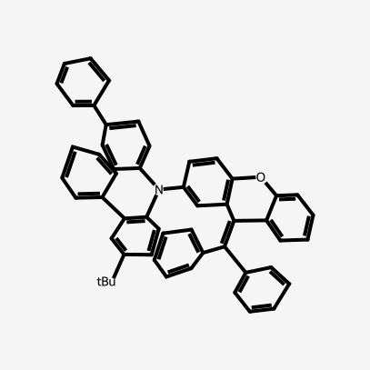 CC(C)(C)c1ccc(N(c2ccc(-c3ccccc3)cc2)c2ccc3c(c2)C(=C(c2ccccc2)c2ccccc2)c2ccccc2O3)c(-c2ccccc2)c1